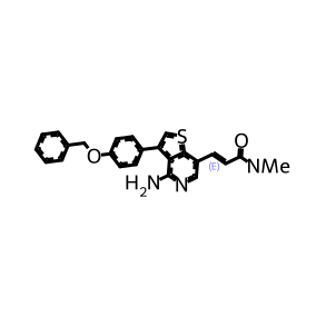 CNC(=O)/C=C/c1cnc(N)c2c(-c3ccc(OCc4ccccc4)cc3)csc12